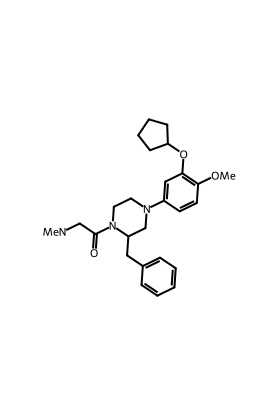 CNCC(=O)N1CCN(c2ccc(OC)c(OC3CCCC3)c2)CC1Cc1ccccc1